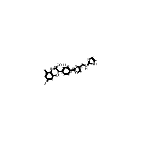 CCc1cc(F)cc(C)c1NC(Cc1ccc(-c2nc(CNc3ncc[nH]3)co2)cc1)C(=O)O